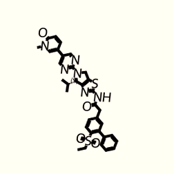 CCS(=O)(=O)c1ccc(CC(=O)Nc2nc3c(s2)CN(c2ncc(-c4ccc(=O)n(C)c4)cn2)[C@H]3C(C)C)cc1-c1ccccc1